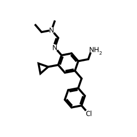 CCN(C)C=Nc1cc(CN)c(Cc2cccc(Cl)c2)cc1C1CC1